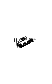 CC1CCC(=O)CC1.[N-]=[N+]=Nc1ccc(C=C2CCCC(=Cc3ccc(N=[N+]=[N-])cc3)C2)cc1